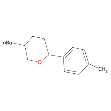 CCCCC1CCC(c2ccc(C)cc2)OC1